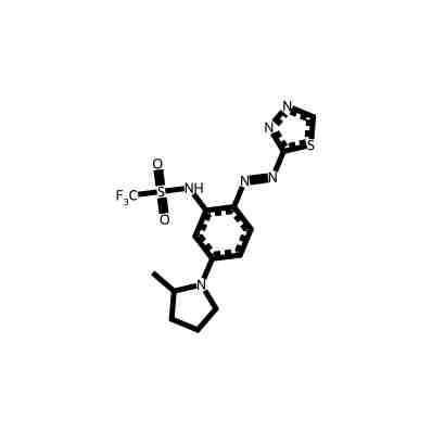 CC1CCCN1c1ccc(N=Nc2nncs2)c(NS(=O)(=O)C(F)(F)F)c1